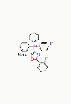 CSc1oc(-c2ccccc2Cl)nc1[P+](c1ccccc1)(c1ccccc1)c1ccccc1.[I-]